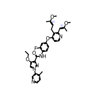 CCOc1cn(-c2cnccc2C)nc1C(=O)Nc1ccc(Oc2ccnc(/C=C(\C)OC)c2C/C=C(\C)OC)cc1F